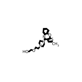 Cc1cc2c(s1)Oc1ccccc1N=C2N1CCN(CCOCCO)CC1